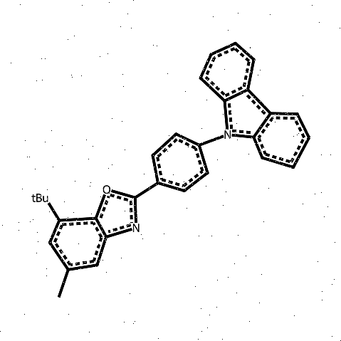 Cc1cc(C(C)(C)C)c2oc(-c3ccc(-n4c5ccccc5c5ccccc54)cc3)nc2c1